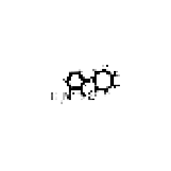 Cc1c(N)cccc1N1CCCCCC1=O